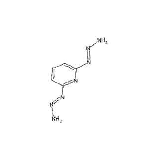 N/N=N/c1cccc(/N=N/N)n1